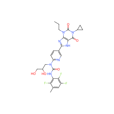 CCCn1c(=O)n(C2CC2)c(=O)c2[nH]c(-c3ccc(N(CC(O)CO)C(=O)Nc4c(F)c(C)cc(F)c4F)nc3)nc21